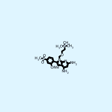 COc1cc(S(C)(=O)=O)ccc1-c1cc2c(N)cc(N)nc2n1COCC[Si](C)(C)C